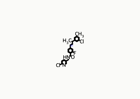 Cc1cc(Cl)cc(C(C)/C=C/c2ccc(C(=O)NCc3ccc(Cl)nc3)c(F)c2)c1